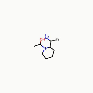 CCC(N)C1CCCCN1C(C)O